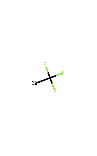 FC(F)(F)[Si]